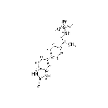 CC(C)S(=O)(=O)NC[C@H](C)c1ccc(-c2ccc3[nH]c(=O)[nH]c3c2)cc1